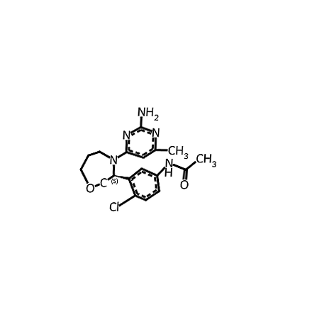 CC(=O)Nc1ccc(Cl)c([C@H]2COCCCN2c2cc(C)nc(N)n2)c1